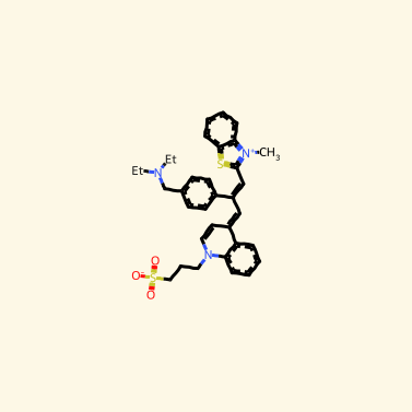 CCN(CC)Cc1ccc(C(=C\c2sc3ccccc3[n+]2C)/C=C2\C=CN(CCCS(=O)(=O)[O-])c3ccccc32)cc1